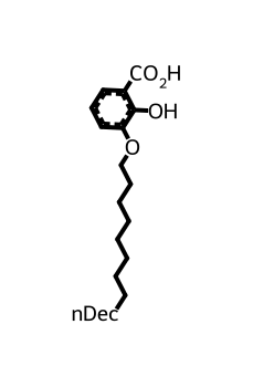 CCCCCCCCCCCCCCCCCCOc1cccc(C(=O)O)c1O